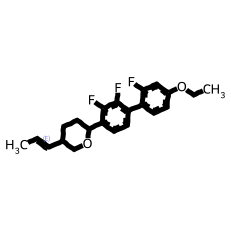 C/C=C/C1CCC(c2ccc(-c3ccc(OCC)cc3F)c(F)c2F)OC1